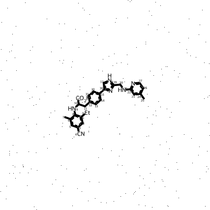 CCc1cc(C#N)cc(C)c1NC(Cc1ccc(-c2c[nH]c(CNc3cc(C)ccn3)n2)cc1)C(=O)O